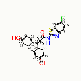 CC(C)(C(=O)Nc1nc2ccc(Cl)cc2s1)C(C1=CC=C(O)CC1)C1C=CC(O)=CC1